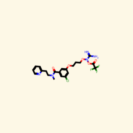 CN(CCc1ccccn1)C(=O)c1cc(Cl)cc(OCCCON(OC(=O)C(F)(F)F)C(=N)N)c1